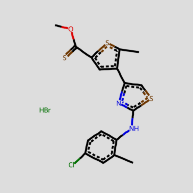 Br.COC(=S)c1cc(-c2csc(Nc3ccc(Cl)cc3C)n2)c(C)s1